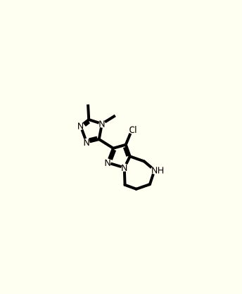 Cc1nnc(-c2nn3c(c2Cl)CNCCC3)n1C